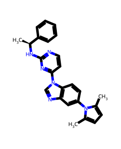 Cc1ccc(C)n1-c1ccc2c(c1)ncn2-c1ccnc(N[C@@H](C)c2ccccc2)n1